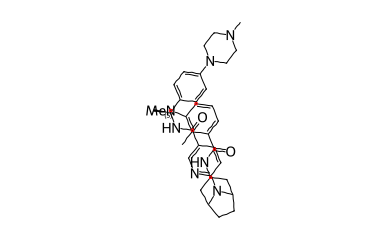 CNc1cccc(C(=O)NC2CC3CCC(C2)N3c2ccc(C(=O)N[C@@H](C)c3ccc(N4CCN(C)CC4)cc3)cn2)c1C